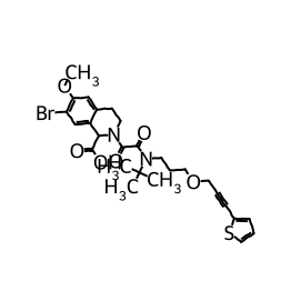 COc1cc2c(cc1Br)C(C(=O)O)N(C(=O)C(=O)N(CCCOCC#Cc1cccs1)C(C)(C)C)CC2